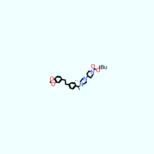 C[C@@H]1CN(C2CCN(C(=O)OC(C)(C)C)CC2)CCN1[C@@H](C)c1ccc(CCc2ccc3c(c2)OCO3)cc1